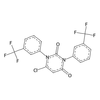 O=c1cc(Cl)n(-c2cccc(C(F)(F)F)c2)c(=O)n1-c1cccc(C(F)(F)F)c1